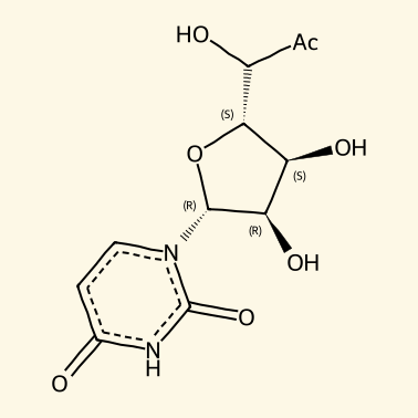 CC(=O)C(O)[C@H]1O[C@@H](n2ccc(=O)[nH]c2=O)[C@H](O)[C@@H]1O